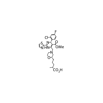 COC(=O)C1=C(CN2CCO[C@H](CCCC(C)C(=O)O)C2)NC(c2nccs2)=N[C@H]1c1ccc(F)cc1Cl